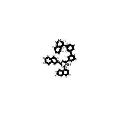 C1=C(c2cccc(-c3cccc(-c4cncc5ccccc45)c3)c2)NC(c2cccc3ccccc23)N=C1c1ccc2ccccc2c1